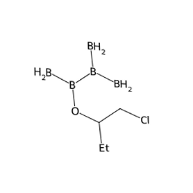 BB(B)B(B)OC(CC)CCl